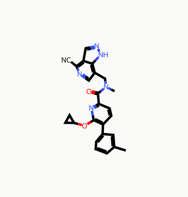 Cc1cccc(-c2ccc(C(=O)N(C)Cc3cnc(C#N)c4cn[nH]c34)nc2OC2CC2)c1